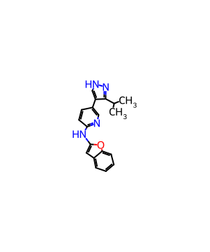 CC(C)c1n[nH]cc1-c1ccc(Nc2cc3ccccc3o2)nc1